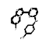 OC1CCC(Nc2ccnc(-c3cnc4ccc(F)cn34)n2)CC1